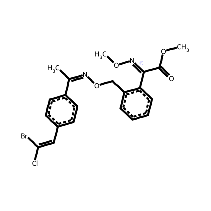 CO/N=C(/C(=O)OC)c1ccccc1CON=C(C)c1ccc(C=C(Cl)Br)cc1